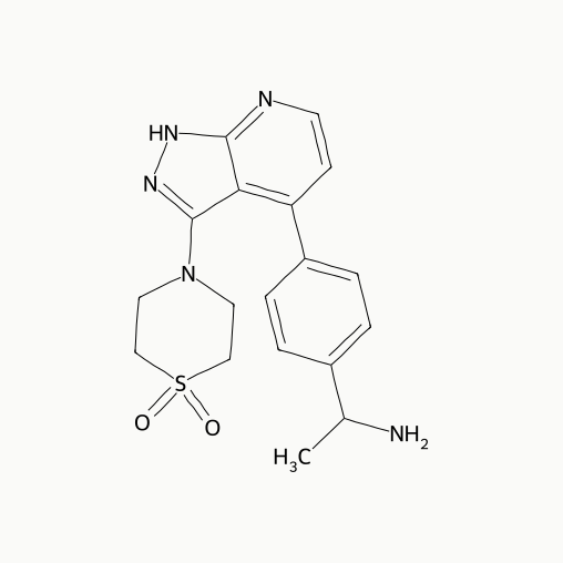 CC(N)c1ccc(-c2ccnc3[nH]nc(N4CCS(=O)(=O)CC4)c23)cc1